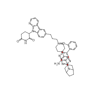 Nc1nnc(-c2ccccc2O)cc1N1CC2CCC(C1)N2c1ncc(C2CCN(CCCc3ccc4c(c3)c3cccnc3n4C3CCC(=O)NC3=O)CC2)cn1